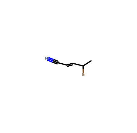 CC(Br)C=CC#N